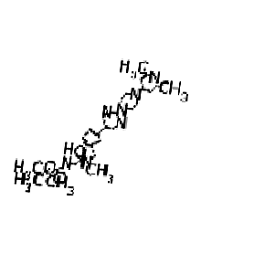 Cc1cc(N2CCN(c3ncc(-c4cccc(CN(C)C(=O)CNC(=O)OC(C)(C)C)c4)cn3)CC2)cc(C)n1